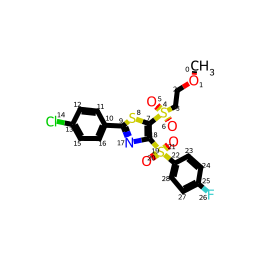 COCCS(=O)(=O)c1sc(-c2ccc(Cl)cc2)nc1S(=O)(=O)c1ccc(F)cc1